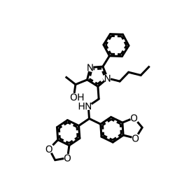 CCCCn1c(-c2ccccc2)nc(C(C)O)c1CNC(c1ccc2c(c1)OCO2)c1ccc2c(c1)OCO2